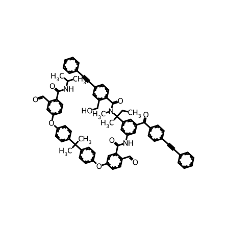 CCC(C)(c1cc(NC(=O)c2cc(Oc3ccc(C(C)(C)c4ccc(Oc5ccc(C(=O)NC(C)C)c(C=O)c5)cc4)cc3)ccc2C=O)cc(C(=O)c2ccc(C#Cc3ccccc3)cc2)c1)N(C)C(=O)c1ccc(C#Cc2ccccc2)cc1CO